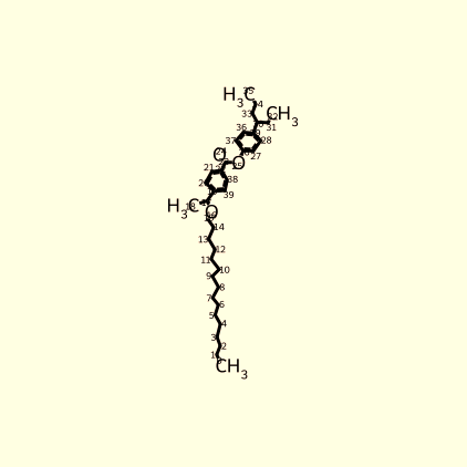 CCCCCCCCCCCCCCCCOC(C)c1ccc(C(=O)Oc2ccc(C(CC)CCC)cc2)cc1